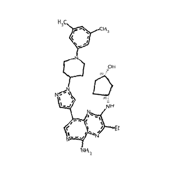 CCc1nc2c(N)ncc(-c3cnn(C4CCN(c5cc(C)cc(C)c5)CC4)c3)c2nc1N[C@@H]1CC[C@H](O)C1